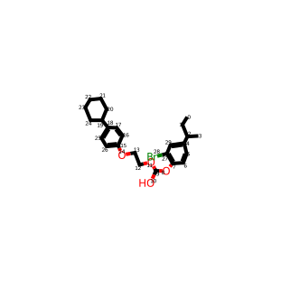 CCC(C)c1ccc(OC(O)OCCOc2ccc(C3CCCCC3)cc2)c(Br)c1